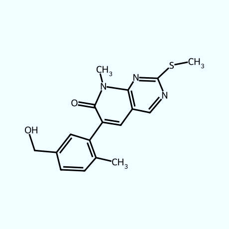 CSc1ncc2cc(-c3cc(CO)ccc3C)c(=O)n(C)c2n1